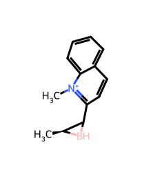 C[C@@H]1BC1c1ccc2ccccc2[n+]1C